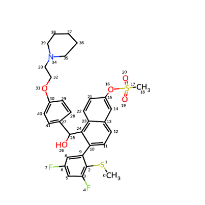 CSc1c(F)cc(F)cc1-c1ccc2cc(OS(C)(=O)=O)ccc2c1C(O)c1ccc(OCCN2CCCCC2)cc1